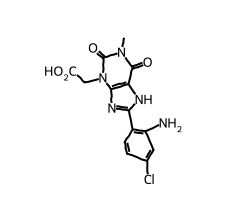 Cn1c(=O)c2[nH]c(-c3ccc(Cl)cc3N)nc2n(CC(=O)O)c1=O